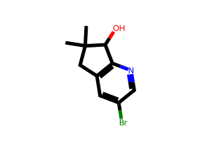 CC1(C)Cc2cc(Br)cnc2C1O